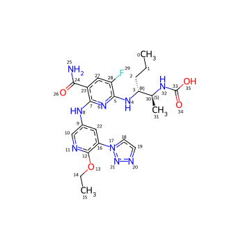 CCC[C@@H](Nc1nc(Nc2cnc(OCC)c(-n3ccnn3)c2)c(C(N)=O)cc1F)[C@H](C)NC(=O)O